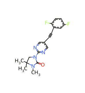 CN1C(=O)N(c2ncc(C#Cc3cc(F)ccc3F)cn2)CC1(C)C